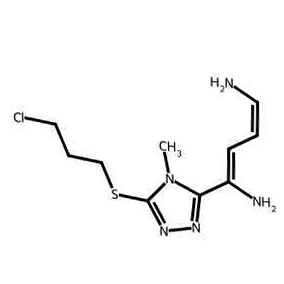 Cn1c(SCCCCl)nnc1/C(N)=C/C=C\N